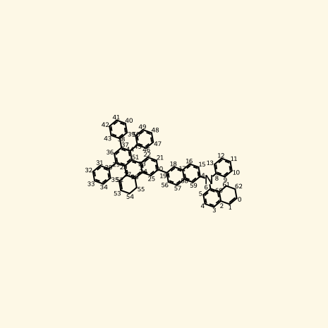 C1=Cc2cccc(N(c3ccccc3)c3ccc4cc(-c5ccc6c(c5)c5c(c7c(-c8ccccc8)cc(-c8ccccc8)c(-c8ccccc8)c76)C=CCC5)ccc4c3)c2CC1